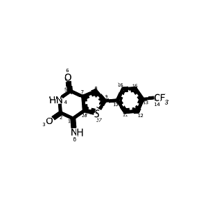 N=C1C(=O)NC(=O)c2cc(-c3ccc(C(F)(F)F)cc3)sc21